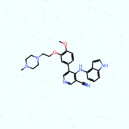 COc1ccc(-c2cncc(C#N)c2Nc2cccc3[nH]ccc23)cc1OCCN1CCN(C)CC1